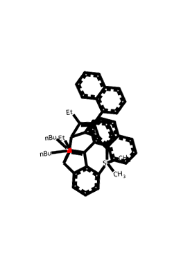 CCC[CH2][Ti]1([CH2]CCC)[CH]2C(CC)=C(c3cccc4ccccc34)c3c2cccc3[Si](C)(C)c2cccc3c2C(c2cccc4ccccc24)=C(CC)[CH]31